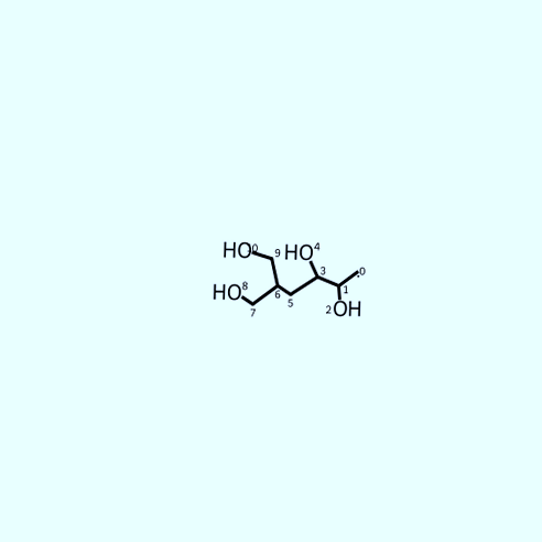 [CH2]C(O)C(O)CC(CO)CO